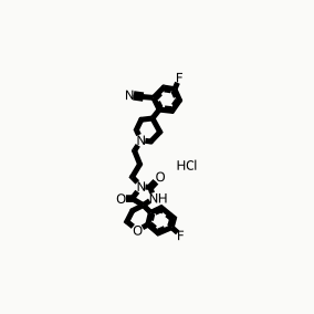 Cl.N#Cc1cc(F)ccc1C1CCN(CCCN2C(=O)NC3(CCOc4cc(F)ccc43)C2=O)CC1